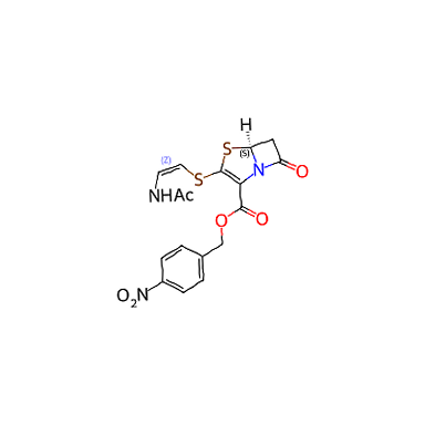 CC(=O)N/C=C\SC1=C(C(=O)OCc2ccc([N+](=O)[O-])cc2)N2C(=O)C[C@@H]2S1